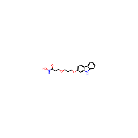 O=C(CCOCCCOc1ccc2c(c1)[nH]c1ccccc12)NO